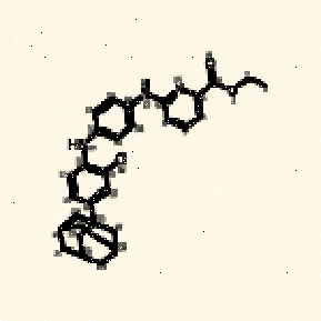 CCOC(=O)c1cccc(Nc2ccc(Nc3ccc(C45CC6CC(CC(C6)C4)C5)cc3Cl)cc2)n1